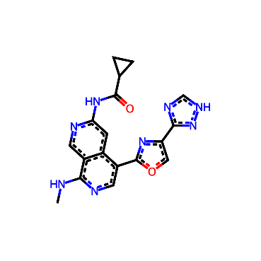 CNc1ncc(-c2nc(-c3nc[nH]n3)co2)c2cc(NC(=O)C3CC3)ncc12